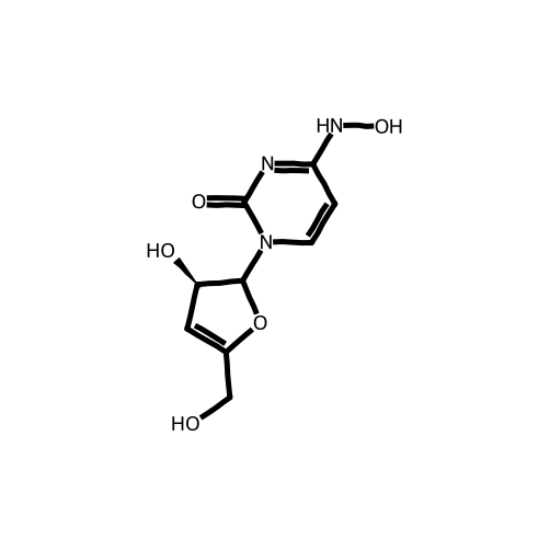 O=c1nc(NO)ccn1C1OC(CO)=C[C@H]1O